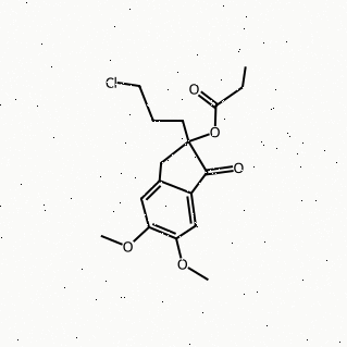 CCC(=O)OC1(CCCCl)Cc2cc(OC)c(OC)cc2C1=O